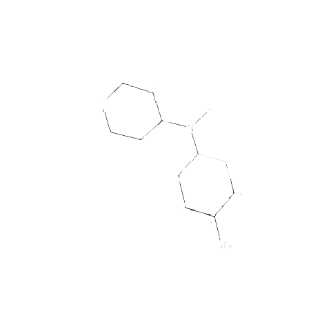 CC(C)C1CCC(N(C)C2CCOCC2)CC1